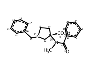 CCOC(=O)[C@]1(N(C)C(=O)c2ccccc2)CCN(Cc2ccccc2)C1